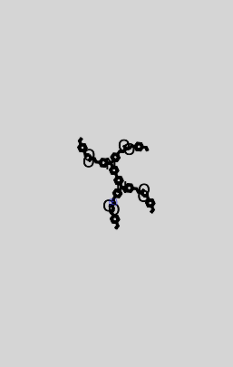 C=Cc1ccc(COC(=O)/C=C/c2ccc(N(c3ccc(CCC(=O)OCc4ccc(C=C)cc4)cc3)c3ccc(-c4ccc(N(c5ccc(CCC(=O)OCc6ccc(C=C)cc6)cc5)c5ccc(CCC(=O)OCc6ccc(C=C)cc6)cc5)cc4)cc3)cc2)cc1